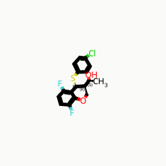 C[C@H](O)[C@H]1COc2c(F)ccc(F)c2[C@@H]1Sc1ccc(Cl)cc1